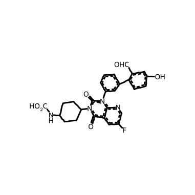 O=Cc1cc(O)ccc1-c1cccc(-n2c(=O)n(C3CCC(NC(=O)O)CC3)c(=O)c3cc(F)cnc32)c1